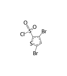 O=S(=O)(Cl)c1sc(Br)cc1Br